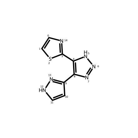 c1csc(-c2[nH]nnc2-c2cc[nH]n2)n1